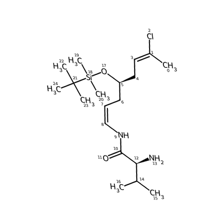 C/C(Cl)=C\C[C@@H](C/C=C\NC(=O)[C@@H](N)C(C)C)O[Si](C)(C)C(C)(C)C